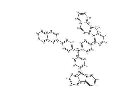 c1ccc2cc(-c3ccc(N(c4ccc(-c5cccc6oc7c8ccccc8ccc7c56)cc4)c4ccc(-n5c6ccccc6c6ccccc65)cc4)cc3)ccc2c1